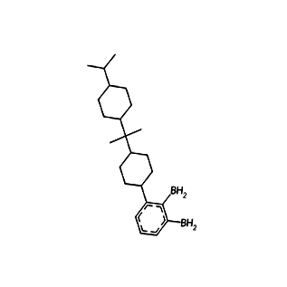 Bc1cccc(C2CCC(C(C)(C)C3CCC(C(C)C)CC3)CC2)c1B